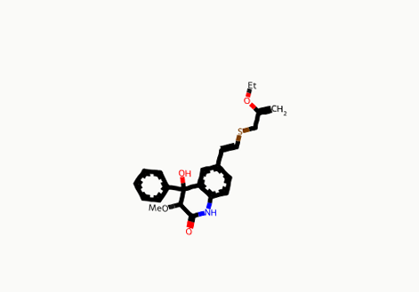 C=C(CSC=Cc1ccc2c(c1)C(O)(c1ccccc1)C(OC)C(=O)N2)OCC